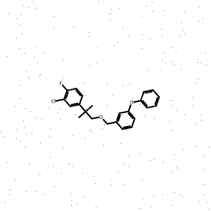 CC(C)(COCc1cccc(Oc2ccccc2)c1)c1ccc(F)c(Cl)c1